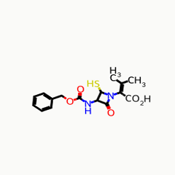 CC(C)=C(C(=O)O)N1C(=O)C(NC(=O)OCc2ccccc2)C1S